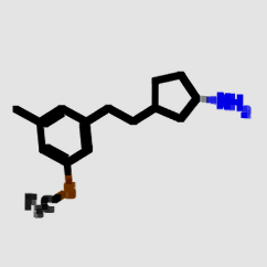 Cc1cc(CCC2CC[C@H](N)C2)cc(SC(F)(F)F)c1